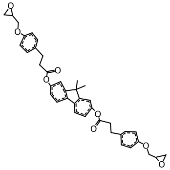 CC1(C)c2cc(OC(=O)CCc3ccc(OCC4CO4)cc3)ccc2-c2ccc(OC(=O)CCc3ccc(OCC4CO4)cc3)cc21